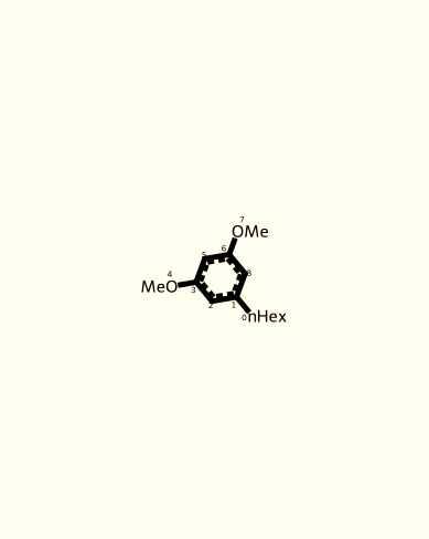 CCCCCCc1cc(OC)cc(OC)c1